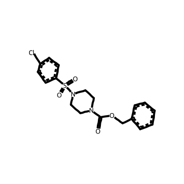 O=C(OCc1ccccc1)N1CCN(S(=O)(=O)c2ccc(Cl)cc2)CC1